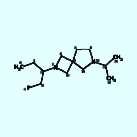 CCC(CF)N1CC2(CCN(C(C)C)C2)C1